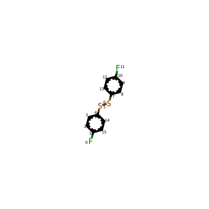 Fc1ccc(SSc2ccc(F)cc2)cc1